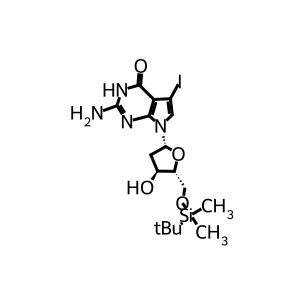 CC(C)(C)[Si](C)(C)OC[C@H]1O[C@@H](n2cc(I)c3c(=O)[nH]c(N)nc32)C[C@@H]1O